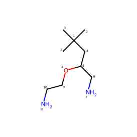 CC(C)(C)CC(CN)OCCN